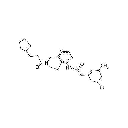 CCC1CC(CC(=O)Nc2ncnc3c2CCN(C(=O)CCC2CCCC2)C3)=CC(C)C1